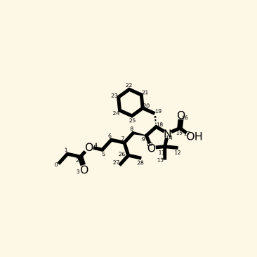 CCC(=O)OCCC(C[C@@H]1OC(C)(C)N(C(=O)O)[C@H]1CC1CCCCC1)C(C)C